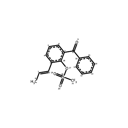 CC=Cc1cccc(C(=O)c2ccccc2)c1OS(=O)(=O)C(F)(F)F